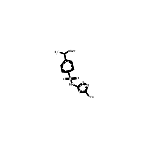 CCCCCCCCCCC(C)c1ccc(S(=O)(=O)Nc2nnc(CCCC)s2)cc1